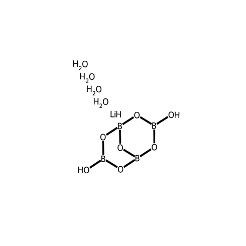 O.O.O.O.OB1OB2OB(O)OB(O1)O2.[LiH]